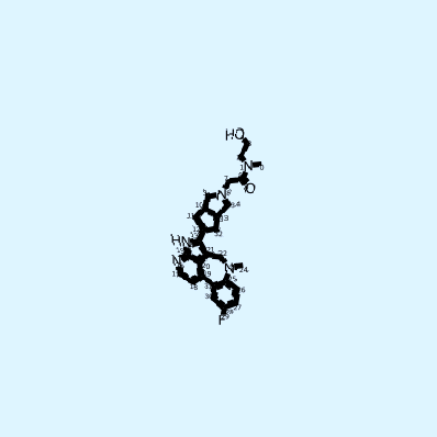 CN(CCO)C(=O)CN1CC2C=C(c3[nH]c4nccc5c4c3CN(C)c3ccc(F)cc3-5)CC2C1